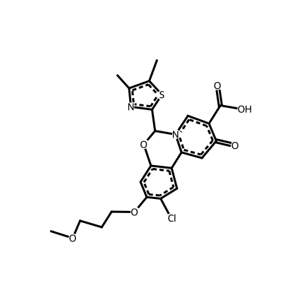 COCCCOc1cc2c(cc1Cl)-c1cc(=O)c(C(=O)O)cn1C(c1nc(C)c(C)s1)O2